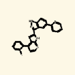 Fc1ccccc1-c1ccnc2[nH]c(-c3n[nH]c4ccc(-c5ccccn5)cc34)cc12